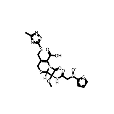 CO[C@@]1(NC(=O)C[S+]([O-])c2cccs2)C(=O)N2C(C(=O)O)=C(CSc3nc(C)ns3)CS[C@H]21